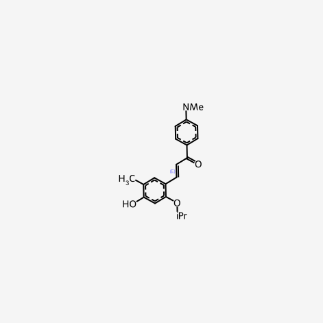 CNc1ccc(C(=O)/C=C/c2cc(C)c(O)cc2OC(C)C)cc1